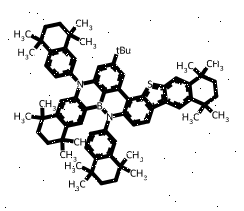 CC(C)(C)c1cc2c3c(c1)N(c1ccc4c(c1)C(C)(C)CCC4(C)C)c1cc4c(cc1B3N(c1ccc3c(c1)C(C)(C)CCC3(C)C)c1ccc3c(sc5cc6c(cc53)C(C)(C)CCC6(C)C)c1-2)C(C)(C)CCC4(C)C